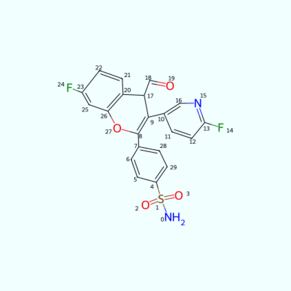 NS(=O)(=O)c1ccc(C2=C(c3ccc(F)nc3)C(C=O)c3ccc(F)cc3O2)cc1